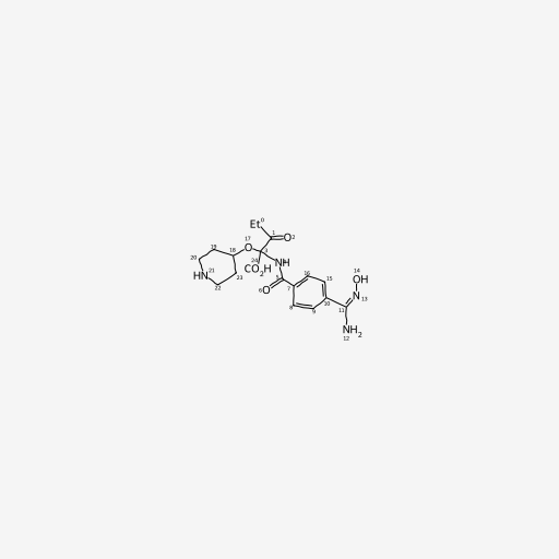 CCC(=O)C(NC(=O)c1ccc(/C(N)=N\O)cc1)(OC1CCNCC1)C(=O)O